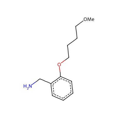 COCCCCOc1ccccc1CN